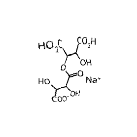 O=C([O-])C(O)C(O)C(=O)OC(C(=O)O)C(O)C(=O)O.[Na+]